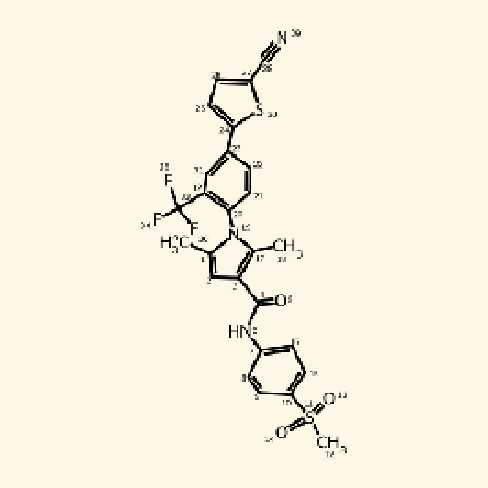 Cc1cc(C(=O)Nc2ccc(S(C)(=O)=O)cc2)c(C)n1-c1ccc(-c2ccc(C#N)s2)cc1C(F)(F)F